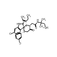 CC=C(CC)[C@@H]1N(CC(=O)NC(C)(C)CO)C(=O)C[C@H](c2cccc(Cl)c2)[C@@]12C(=O)Nc1cc(Cl)ccc12